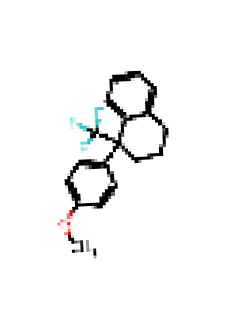 COc1ccc(C2(C(F)(F)F)CCCc3ccccc32)cc1